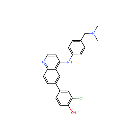 CN(C)Cc1ccc(Nc2[c]cnc3ccc(-c4ccc(O)c(Cl)c4)cc23)cc1